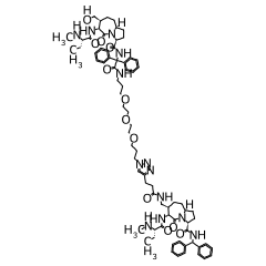 CC[C@H](NC)C(=O)N[C@@H]1C(=O)N2[C@@H](CC[C@@H]1CNC(=O)CCc1cn(CCCOCCOCCOCCCNC(=O)C(NC(=O)[C@@H]3CC[C@@H]4CC[C@H](CO)[C@H](NC(=O)[C@H](CC)NC)C(=O)N43)(c3ccccc3)c3ccccc3)nn1)CC[C@H]2C(=O)NC(c1ccccc1)c1ccccc1